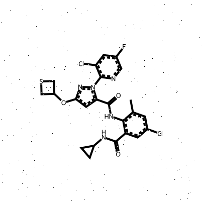 Cc1cc(Cl)cc(C(=O)NC2CC2)c1NC(=O)c1cc(OC2CSC2)nn1-c1ncc(F)cc1Cl